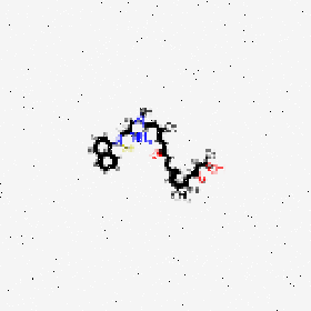 CCC(CCC(=O)/C=C/C(C)=C/[C@H](C)[C@@H](CC)CC(=O)C[C@@H](O)CC)CCN(C)C/C(N)=C/N(S)c1cccc2ccccc12